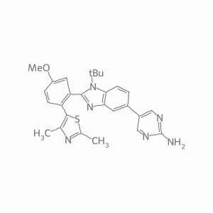 COc1ccc(-c2sc(C)nc2C)c(-c2nc3cc(-c4cnc(N)nc4)ccc3n2C(C)(C)C)c1